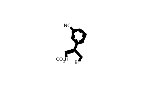 N#Cc1cccc(C(=CC(=O)O)CBr)c1